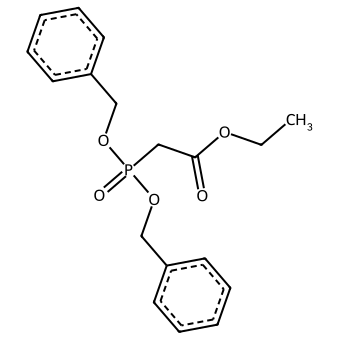 CCOC(=O)CP(=O)(OCc1ccccc1)OCc1ccccc1